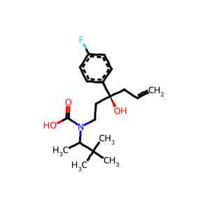 C=CC[C@](O)(CCN(C(=O)O)C(C)C(C)(C)C)c1ccc(F)cc1